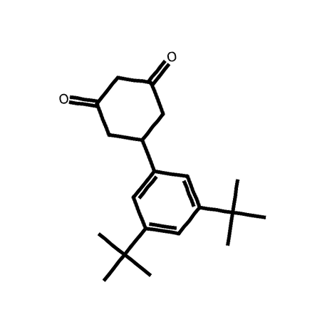 CC(C)(C)c1cc(C2CC(=O)CC(=O)C2)cc(C(C)(C)C)c1